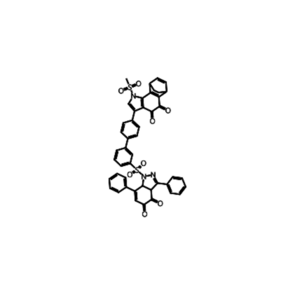 CS(=O)(=O)n1cc(-c2ccc(-c3cccc(S(=O)(=O)N4N=C(c5ccccc5)C5C(=O)C(=O)C=C(c6ccccc6)C54)c3)cc2)c2c1C1=C(C(=O)C2=O)C2C=CC1CC2